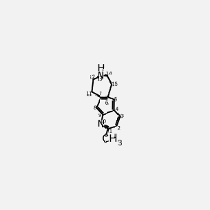 Cc1ccc2cc3c(cc2n1)CCNCC3